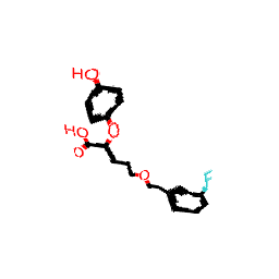 O=C(O)C(CCCOCc1cccc(F)c1)Oc1ccc(O)cc1